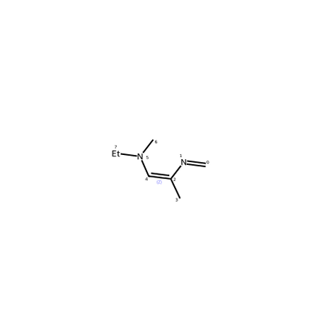 C=N/C(C)=C\N(C)CC